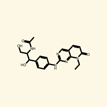 CCn1c(=O)ccc2cnc(Nc3ccc(C(O)C(CO)NC(C)=O)cc3)nc21